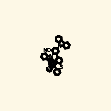 N#Cc1cc(-n2c3ccccc3c3ccccc32)cc(-c2ccc3c(c2)C2(c4ccccc4S3)c3cccnc3-c3ncccc32)c1-n1c2ccccc2c2ccccc21